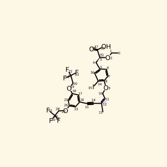 CCO[C@@H](Cc1ccc(OC/C=C(/C)C#Cc2cc(OCC(F)(F)F)cc(OCC(F)(F)F)c2)c(I)c1)C(=O)O